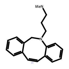 CNCCCN1Cc2ccccc2/C=C\c2ccccc21